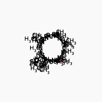 CC[C@H](C)[C@@H]1NC(=O)[C@H](CC(C)C)N(C)C(=O)C[C@@H](C)NC(=O)[C@H](CC(C)C)N(C)C(=O)C(C)(C)NC(=O)[C@H](COCC(=O)NC(C)(C)C)N(C)C(=O)[C@H](CCc2ccc(C(F)(F)F)c(Cl)c2)NC(=O)CN(C)C(=O)[C@H](COCCC(C)C)N(C)C(=O)CN(C)C(=O)CN(C)C1=O